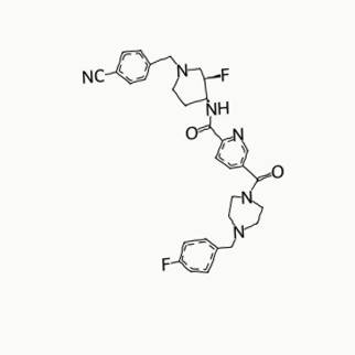 N#Cc1ccc(CN2CC[C@H](NC(=O)c3ccc(C(=O)N4CCN(Cc5ccc(F)cc5)CC4)cn3)[C@H](F)C2)cc1